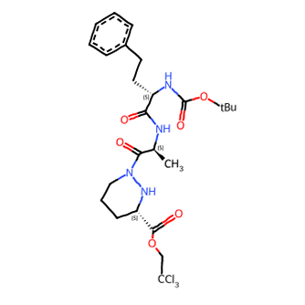 C[C@H](NC(=O)[C@H](CCc1ccccc1)NC(=O)OC(C)(C)C)C(=O)N1CCC[C@@H](C(=O)OCC(Cl)(Cl)Cl)N1